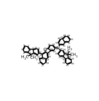 CC1(C)c2ccccc2-c2ccc(-c3c4ccccc4cc4c3oc3ccc(N(c5ccc6c(c5)C(C)(C)c5ccccc5-6)c5ccc6ccccc6c5)cc34)cc21